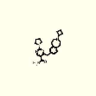 NC(=O)c1cnc(N2CCCC2)nc1Cc1ccc2c(c1)CCN(C1CCC1)CC2